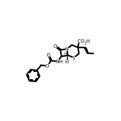 CC=CC1(C(=O)O)CS[C@@H]2C(NC(=O)OCc3ccccc3)C(=O)N2C1